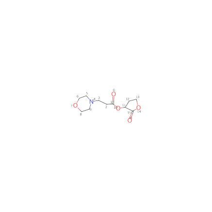 O=C(CCN1CCOCC1)OC1CCOC1=O